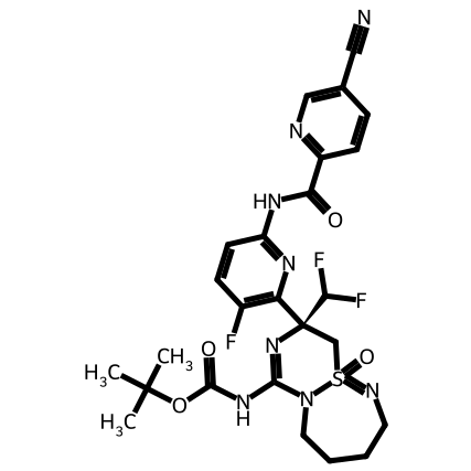 CC(C)(C)OC(=O)NC1=N[C@@](c2nc(NC(=O)c3ccc(C#N)cn3)ccc2F)(C(F)F)CS2(=O)=NCCCCN12